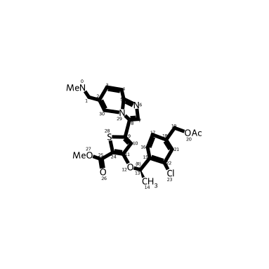 CNCc1ccc2ncc(-c3cc(O[C@H](C)c4ccc(COC(C)=O)cc4Cl)c(C(=O)OC)s3)n2c1